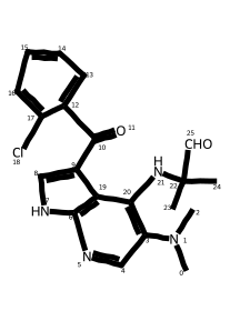 CN(C)c1cnc2[nH]cc(C(=O)c3ccccc3Cl)c2c1NC(C)(C)C=O